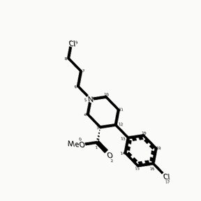 COC(=O)[C@@H]1CN(CCCCl)CCC1c1ccc(Cl)cc1